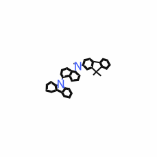 CN(c1ccc2c(c1)C(C)(C)c1ccccc1-2)c1cccc2c(-n3c4ccccc4c4ccccc43)cccc12